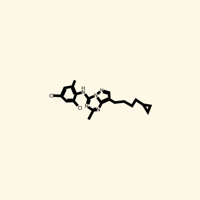 Cc1nc(Nc2c(C)cc(Cl)cc2Cl)n2ncc(CCCCC3CC3)c2n1